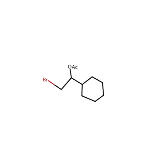 CC(=O)OC(CBr)C1CCCCC1